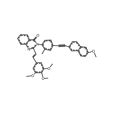 COc1ccc2cc(C#Cc3ccc(-n4c(C=Cc5cc(OC)c(OC)c(OC)c5)nc5ccccc5c4=O)c(C)c3)ccc2c1